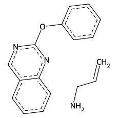 C=CCN.c1ccc(Oc2ncc3ccccc3n2)cc1